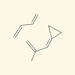 C=C(C)C=C1CC1.C=CC=C